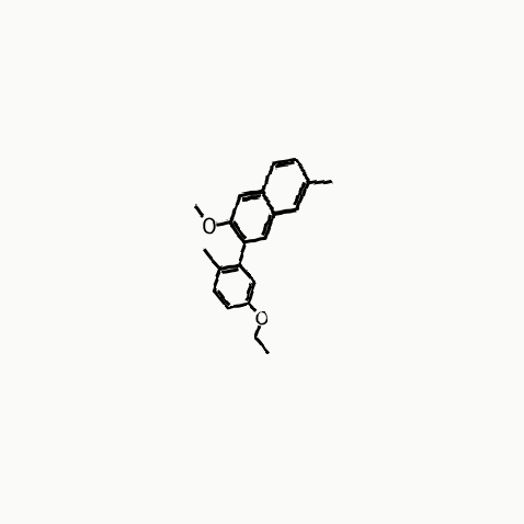 CCOc1ccc(C)c(-c2cc3cc(C)ccc3cc2OC)c1